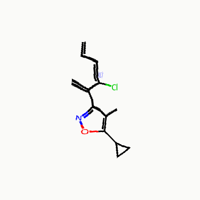 C=C/C=C(/Cl)C(=C)c1noc(C2CC2)c1C